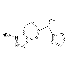 CCCCn1nnc2cc(C(O)c3cccs3)ccc21